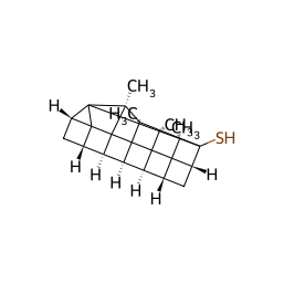 C[C@@]12C34[C@H]5C[C@H]6[C@@H]7[C@@H]8[C@@H]9[C@H]%10C[C@H]%11C3(S)[C@@]3(C)C%10%11C9%10C8(C71C654)[C@]2(C)[C@]%103C